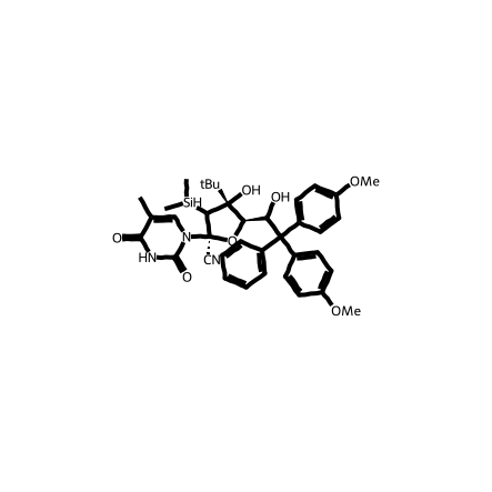 COc1ccc(C(c2ccccc2)(c2ccc(OC)cc2)C(O)[C@H]2O[C@@](C#N)(n3cc(C)c(=O)[nH]c3=O)C([SiH](C)C)[C@@]2(O)C(C)(C)C)cc1